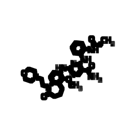 C=CC(=O)Nc1ccccc1Nc1nc(Nc2ccc3c(c2OC)CCCC(=O)N3CCN2CCOCC2)ncc1C(N)=O